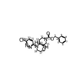 O=C(OCc1ccccc1)N1CC[C@@H]2[C@H](C1)OCCN2c1ccc(Cl)nn1